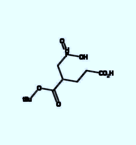 CC(C)(C)OC(=O)C(CCC(=O)O)C[PH](=O)O